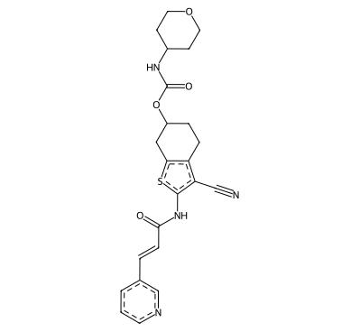 N#Cc1c(NC(=O)C=Cc2cccnc2)sc2c1CCC(OC(=O)NC1CCOCC1)C2